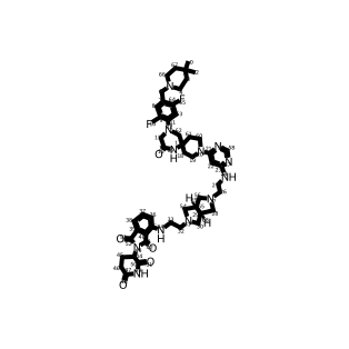 CC1(C)CCN(Cc2cc(F)c(N3CC(=O)NC4(CCN(c5cc(NCCN6C[C@@H]7CN(CCNc8cccc9c8C(=O)N(C8CCC(=O)NC8=O)C9=O)C[C@@H]7C6)ncn5)CC4)C3)cc2F)CC1